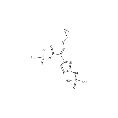 CCO/N=C(\C(=O)OS(C)(=O)=O)c1nsc(NP(=O)(O)O)n1